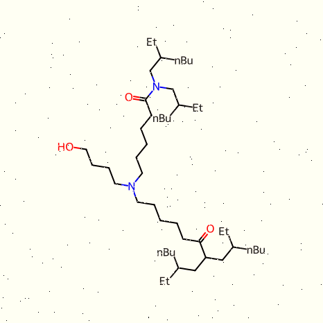 CCCCC(CC)CC(CC(CC)CCCC)C(=O)CCCCCN(CCCCO)CCCCCC(=O)N(CC(CC)CCCC)CC(CC)CCCC